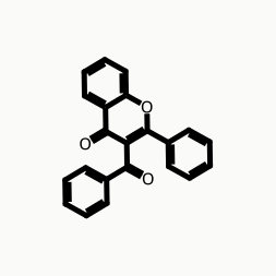 O=C(c1ccccc1)c1c(-c2ccccc2)oc2ccccc2c1=O